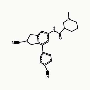 CN1CCCC(C(=O)Nc2cc3c(c(-c4ccc(C#N)cc4)c2)CN(C#N)C3)C1